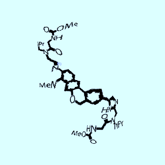 CCCN(Cc1ncc(-c2ccc3c(c2)COc2cc4c(NC)c(/N=C/CN(CC(C)C)C(=O)CNC(=O)OC)ccc4cc2-3)[nH]1)C(=O)CNC(=O)OC